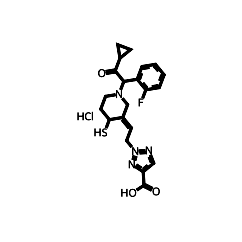 Cl.O=C(O)c1cnn(CC=C2CN(C(C(=O)C3CC3)c3ccccc3F)CCC2S)n1